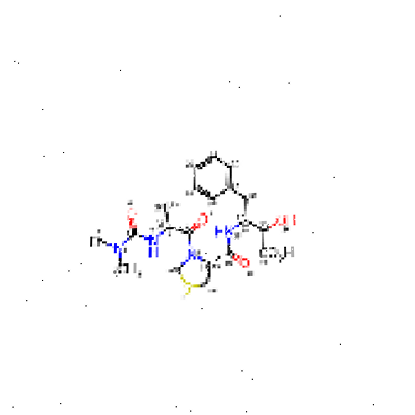 CCN(C)C(=O)N[C@H](C(=O)N1CSC[C@H]1C(=O)N[C@@H](Cc1ccccc1)C(O)C(=O)O)C(C)C